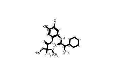 CSC(C)(SC)C(=O)Oc1cc(Cl)c(Cl)cc1NC(=O)C(C)C1CCCCC1